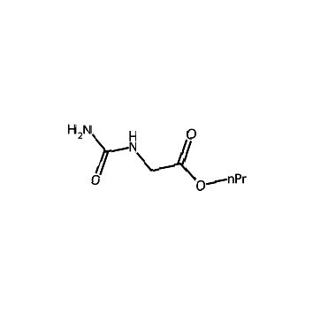 CCCOC(=O)CNC(N)=O